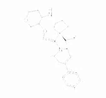 COC1COCCC1N[C@@H]1CC[C@@](C(=O)N2CC=C(c3ccccc3)CC2)(C(C)C)C1